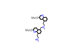 COc1cnc2cccc(CCN(C)Cc3ccc(CCN(C)C)c4nc(OC)ccc34)c2c1